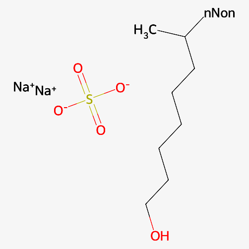 CCCCCCCCCC(C)CCCCCCO.O=S(=O)([O-])[O-].[Na+].[Na+]